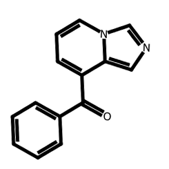 O=C(c1ccccc1)c1cccn2cncc12